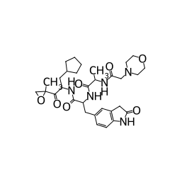 CC(NC(=O)CN1CCOCC1)C(=O)NC(Cc1ccc2c(c1)CC(=O)N2)C(=O)NC(CC1CCCC1)C(=O)C1(C)CO1